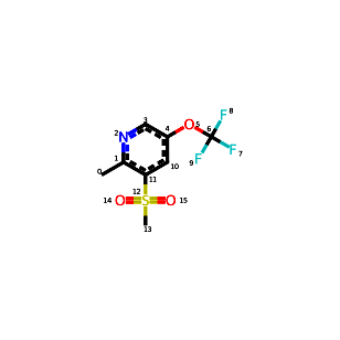 Cc1ncc(OC(F)(F)F)cc1S(C)(=O)=O